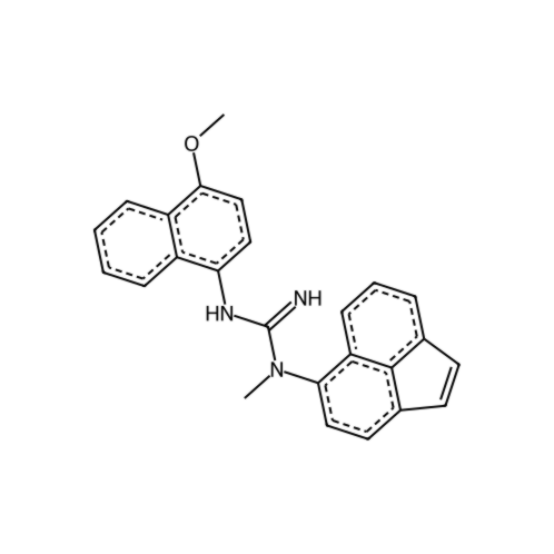 COc1ccc(NC(=N)N(C)c2ccc3c4c(cccc24)C=C3)c2ccccc12